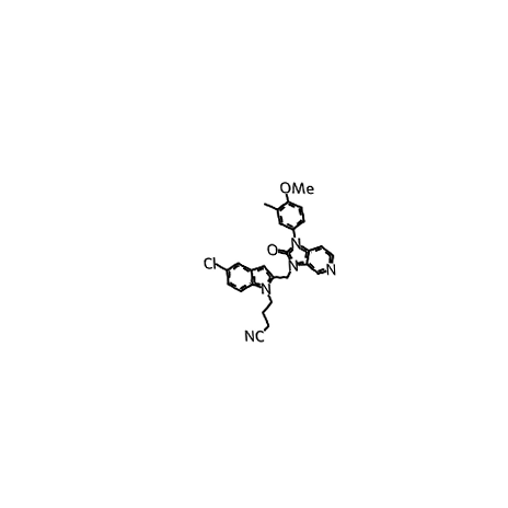 COc1ccc(-n2c(=O)n(Cc3cc4cc(Cl)ccc4n3CCCC#N)c3cnccc32)cc1C